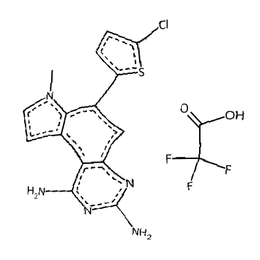 Cn1ccc2c3c(N)nc(N)nc3cc(-c3ccc(Cl)s3)c21.O=C(O)C(F)(F)F